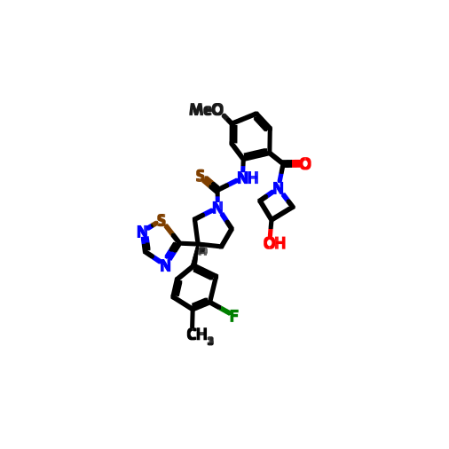 COc1ccc(C(=O)N2CC(O)C2)c(NC(=S)N2CC[C@](c3ccc(C)c(F)c3)(c3ncns3)C2)c1